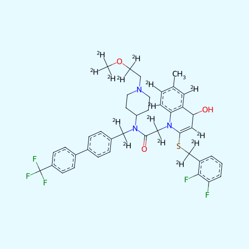 [2H]C1=C(SC([2H])([2H])c2cccc(F)c2F)N(C([2H])([2H])C(=O)N(C2CCN(CC([2H])([2H])OC([2H])([2H])[2H])CC2)C([2H])([2H])c2ccc(-c3ccc(C(F)(F)F)cc3)cc2)c2c([2H])c([2H])c(C)c([2H])c2C1O